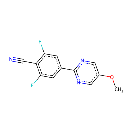 COc1cnc(-c2cc(F)c(C#N)c(F)c2)nc1